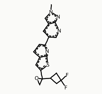 Cn1cc2cc(-c3ccc4cc(C5(C6CC(F)(F)C6)CO5)sc4n3)cnc2n1